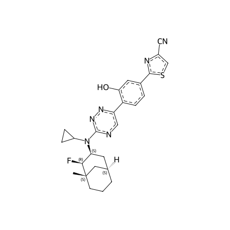 C[C@@]12CCC[C@H](C[C@H](N(c3ncc(-c4ccc(-c5nc(C#N)cs5)cc4O)nn3)C3CC3)[C@@H]1F)C2